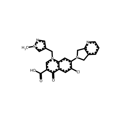 Cn1cc(Cn2cc(C(=O)O)c(=O)c3cc(Cl)c(N4Cc5cccnc5C4)cc32)cn1